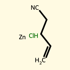 C=CCCC#N.Cl.[Zn]